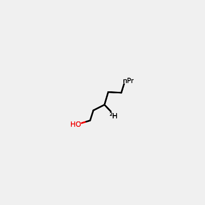 [2H]C(CCO)CCCCC